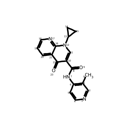 Cc1cnccc1NC(=O)c1cn(C2CC2)c2ncccc2c1=O